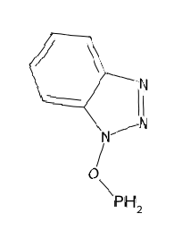 POn1nnc2ccccc21